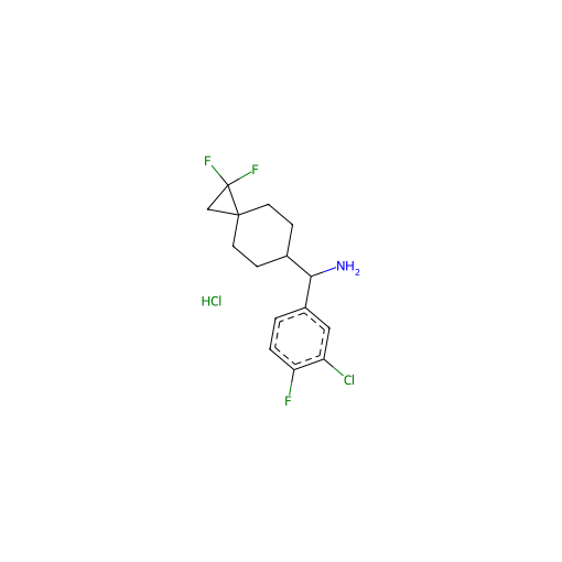 Cl.NC(c1ccc(F)c(Cl)c1)C1CCC2(CC1)CC2(F)F